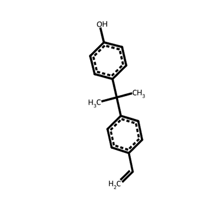 C=Cc1ccc(C(C)(C)c2ccc(O)cc2)cc1